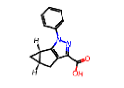 O=C(O)c1nn(-c2ccccc2)c2c1C[C@@H]1C[C@H]21